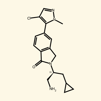 Cn1ncc(Cl)c1-c1ccc2c(c1)CN([C@H](CN)CC1CC1)C2=O